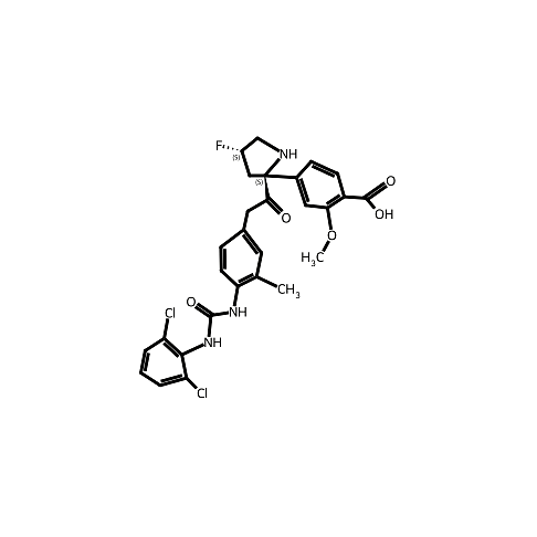 COc1cc([C@]2(C(=O)Cc3ccc(NC(=O)Nc4c(Cl)cccc4Cl)c(C)c3)C[C@H](F)CN2)ccc1C(=O)O